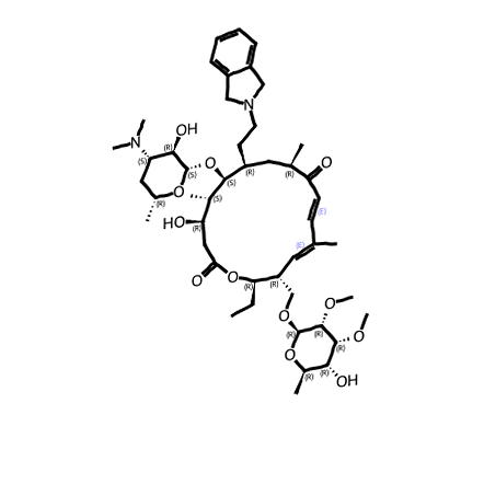 CC[C@H]1OC(=O)C[C@@H](O)[C@H](C)[C@@H](O[C@@H]2O[C@H](C)C[C@H](N(C)C)[C@H]2O)[C@@H](CCN2Cc3ccccc3C2)C[C@@H](C)C(=O)/C=C/C(C)=C/[C@@H]1CO[C@@H]1O[C@H](C)[C@@H](O)[C@@H](OC)[C@H]1OC